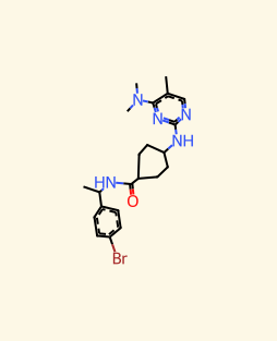 Cc1cnc(NC2CCC(C(=O)NC(C)c3ccc(Br)cc3)CC2)nc1N(C)C